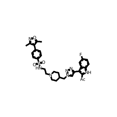 CC(=O)c1[nH]c2ccc(F)cc2c1-c1cn(CC2CCN(CCNS(=O)(=O)c3ccc(-c4c(C)noc4C)cc3)CC2)nn1